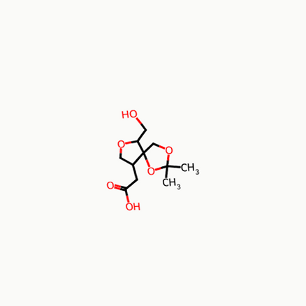 CC1(C)OCC2(O1)C(CC(=O)O)COC2CO